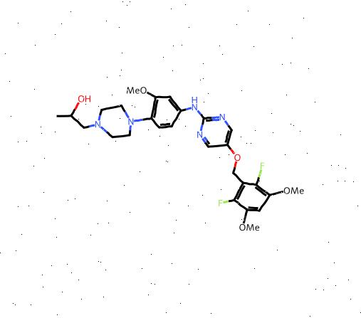 COc1cc(Nc2ncc(OCc3c(F)c(OC)cc(OC)c3F)cn2)ccc1N1CCN(CC(C)O)CC1